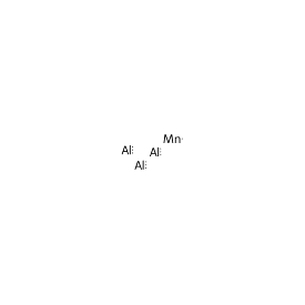 [Al].[Al].[Al].[Mn]